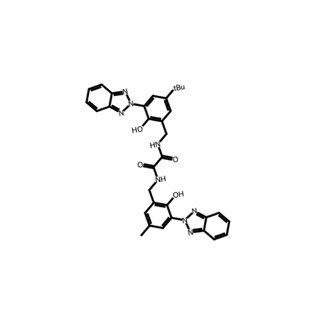 Cc1cc(CNC(=O)C(=O)NCc2cc(C(C)(C)C)cc(-n3nc4ccccc4n3)c2O)c(O)c(-n2nc3ccccc3n2)c1